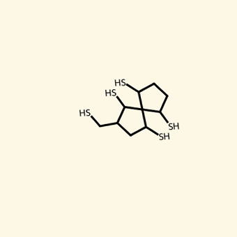 SCC1CC(S)C2(C(S)CCC2S)C1S